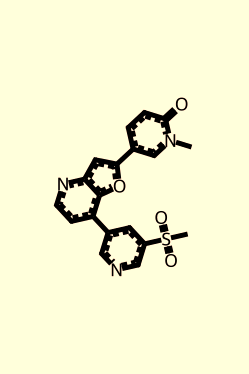 Cn1cc(-c2cc3nccc(-c4cncc(S(C)(=O)=O)c4)c3o2)ccc1=O